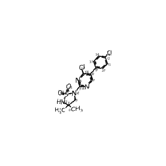 CC1(C)CN(c2ncc(-c3ccc(Cl)cc3)c(Cl)n2)S(=O)(=O)N1